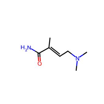 C/C(=C\CN(C)C)C(N)=O